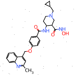 Cc1cc(COc2ccc(C(=O)NC3CCN(CC4CC4)CC3C(=O)NO)cc2)c2ccccc2n1